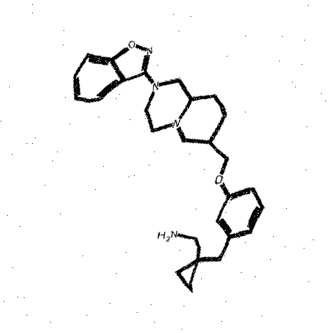 NCC1(Cc2cccc(OCC3CCC4CN(c5noc6ccccc56)CCN4C3)c2)CC1